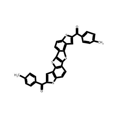 Cc1ccc(C(=O)c2cc3c(ccc4c3sc3c5ccc6sc(C(=O)c7ccc(C)cc7)cc6c5sc43)s2)cc1